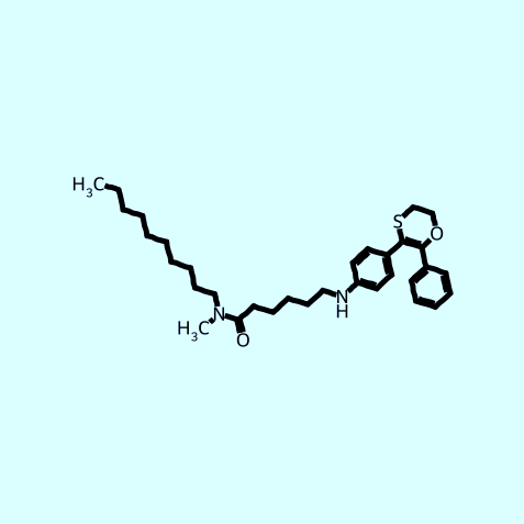 CCCCCCCCCCN(C)C(=O)CCCCCNc1ccc(C2=C(c3ccccc3)OCCS2)cc1